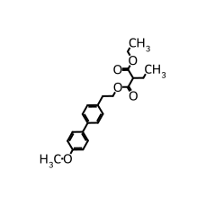 CCOC(=O)C(CC)C(=O)OCCc1ccc(-c2ccc(OC)cc2)cc1